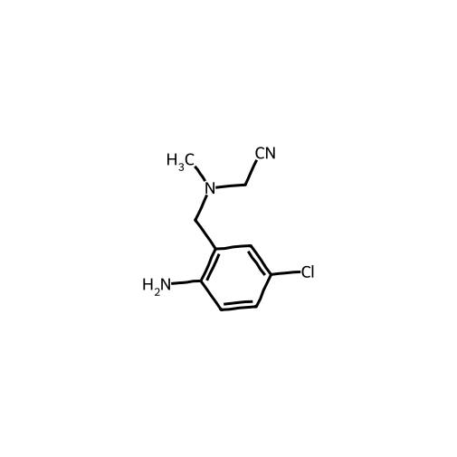 CN(CC#N)Cc1cc(Cl)ccc1N